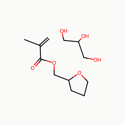 C=C(C)C(=O)OCC1CCCO1.OCC(O)CO